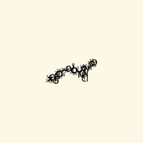 Cc1cc(-c2nc(Cl)nc3c2ccn3CC2CCOC2)ccc1OCCC1CCN(C(=O)OC(C)(C)C)CC1